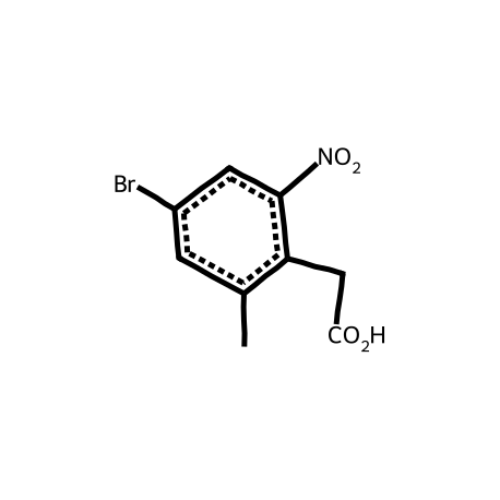 Cc1cc(Br)cc([N+](=O)[O-])c1CC(=O)O